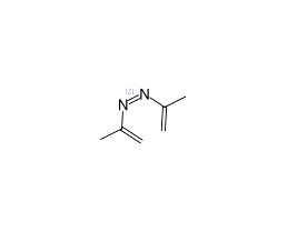 C=C(C)/N=N\C(=C)C